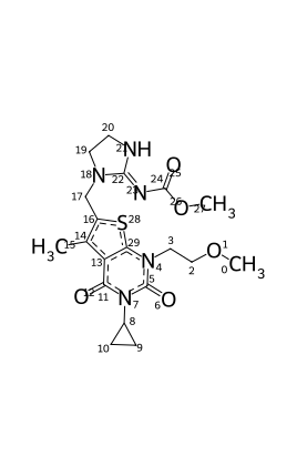 COCCn1c(=O)n(C2CC2)c(=O)c2c(C)c(CN3CCNC3=NC(=O)OC)sc21